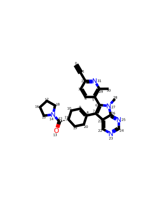 C#Cc1ccc(-c2c(C3=CC[C@@H](C(=O)N4CCCC4)CC3)c3cncnc3n2C)c(C)n1